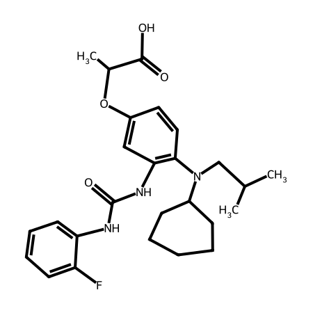 CC(C)CN(c1ccc(OC(C)C(=O)O)cc1NC(=O)Nc1ccccc1F)C1CCCCC1